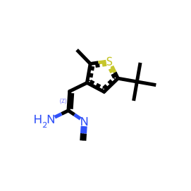 C=N/C(N)=C\c1cc(C(C)(C)C)sc1C